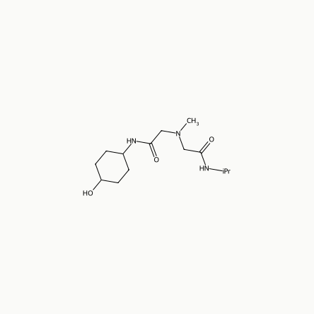 CC(C)NC(=O)CN(C)CC(=O)NC1CCC(O)CC1